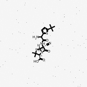 CC(C)(C)c1ccc(C(N)C(=O)N[C@@]2(C#N)C(=O)N3[C@@H](C(=O)O)C(C)(C)S[C@@H]32)s1